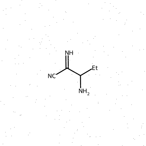 CCC(N)C(=N)C#N